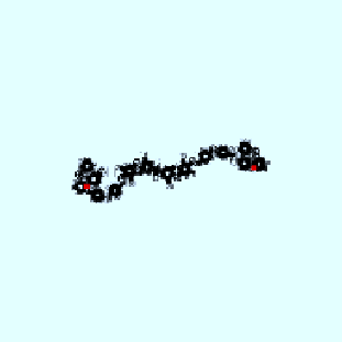 Cc1cc(Oc2c(C)cc(C(C)(C)c3cc(C)c(Oc4cc(C)c(OCc5ccc(Oc6ccc(COc7ccc(O)cc7P(=O)(c7ccccc7)c7ccccc7)cc6)cc5)c(C)c4)c(C)c3)cc2C)cc(C)c1OCc1ccc(Oc2ccc(COc3ccc(O)c(P(=O)(c4ccccc4)c4ccccc4)c3)cc2)cc1